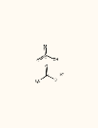 CC(=O)[O-].O=[SH](=O)O.[K+]